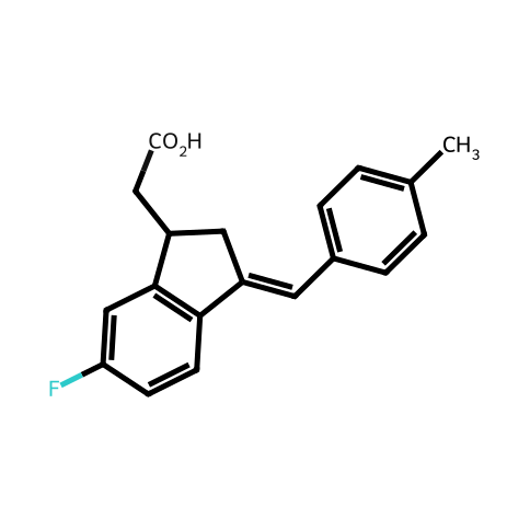 Cc1ccc(/C=C2\CC(CC(=O)O)c3cc(F)ccc32)cc1